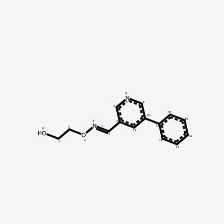 OCCO/N=C/c1cncc(-c2ccccc2)c1